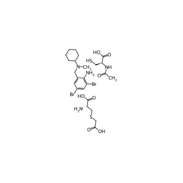 CC(=O)N[C@@H](CS)C(=O)O.CN(Cc1cc(Br)cc(Br)c1N)C1CCCCC1.N[C@@H](CSCC(=O)O)C(=O)O